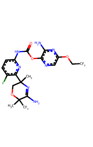 CC1(c2nc(NC(=O)Oc3ncc(OCC(F)(F)F)nc3N)ccc2F)COC(C)(C(F)(F)F)C(N)=N1